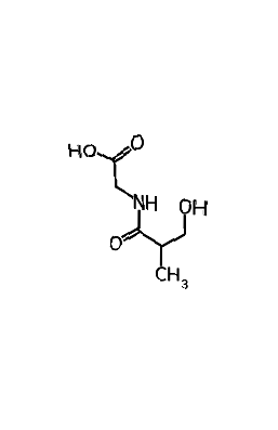 CC(CO)C(=O)NCC(=O)O